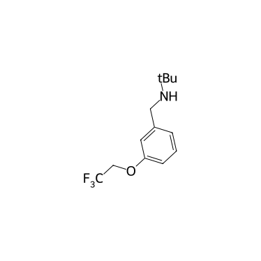 CC(C)(C)NCc1cccc(OCC(F)(F)F)c1